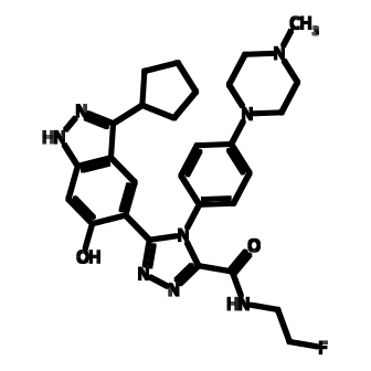 CN1CCN(c2ccc(-n3c(C(=O)NCCF)nnc3-c3cc4c(C5CCCC5)n[nH]c4cc3O)cc2)CC1